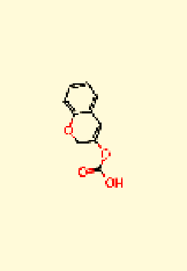 O=C(O)OC1=Cc2ccccc2OC1